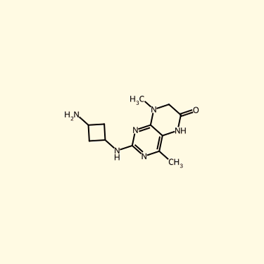 Cc1nc(NC2CC(N)C2)nc2c1NC(=O)CN2C